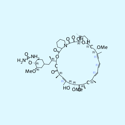 CO[C@H]1C[C@@H]2CC[C@@H](C)[C@@](O)(O2)C(=O)C(=O)N2CCCCC2C(=O)OC([C@H](C)CC2CC[C@@H](OP(N)(N)=O)[C@H](OC)C2)CC(=O)[C@H](C)/C=C(\C)[C@@H](O)[C@@H](OC)C(=O)[C@H](C)C[C@H](C)/C=C/C=C/C=C/1C